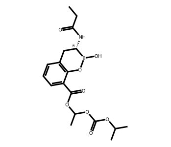 CCC(=O)N[C@H]1Cc2cccc(C(=O)OC(C)OC(=O)OC(C)C)c2OB1O